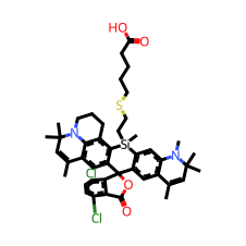 CC1=CC(C)(C)N(C)c2cc3c(cc21)C1(OC(=O)c2c(Cl)ccc(Cl)c21)c1cc2c4c(c1[Si]3(C)CCSCCCCC(=O)O)CCCN4C(C)(C)C=C2C